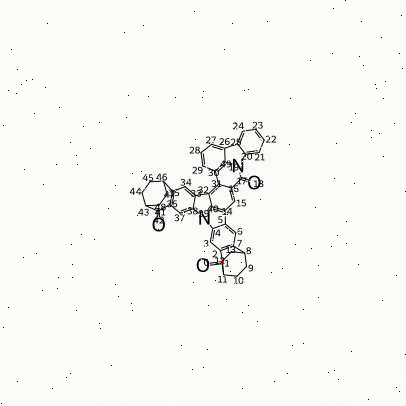 O=C1c2cc3c(cc2C2CCC1CC2)c1cc2c(=O)n4c5ccccc5c5cccc(c2c2c6cc7c(cc6n3c12)C(=O)C1CCC7CC1)c54